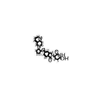 O=C1NC(O)CCC1N1Cc2cc(O[C@H]3CCC[C@H]3N3CCc4ncccc4C3)ccc2C1=O